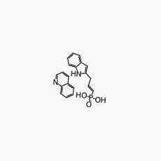 O=P(O)(O)C=CCc1cc2ccccc2[nH]1.c1ccc2ncccc2c1